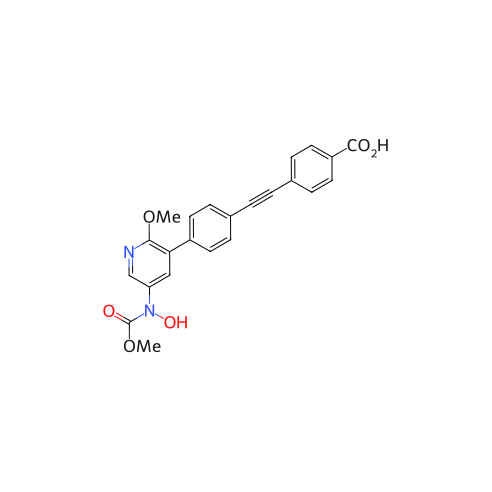 COC(=O)N(O)c1cnc(OC)c(-c2ccc(C#Cc3ccc(C(=O)O)cc3)cc2)c1